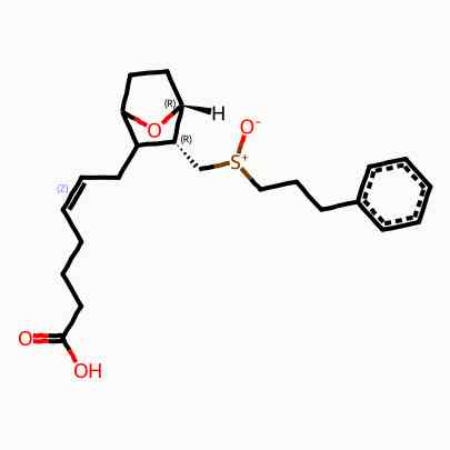 O=C(O)CCC/C=C\CC1C2CC[C@@H](O2)[C@@H]1C[S+]([O-])CCCc1ccccc1